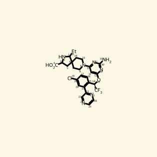 CCC1NC(C(=O)O)CC12CCN(c1cc(O[C@H](c3ccc(Cl)cc3-c3cnccn3)C(F)(F)F)nc(N)n1)CC2